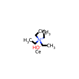 CC[N+](CC)(CC)CC.[Ce].[OH-]